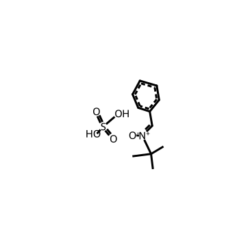 CC(C)(C)[N+]([O-])=Cc1ccccc1.O=S(=O)(O)O